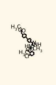 CCOC(=O)Cc1ccc(-c2ccc(-c3n[nH]c(C)c3NC(=O)O[C@H](C)c3ccccc3Cl)cc2)cc1